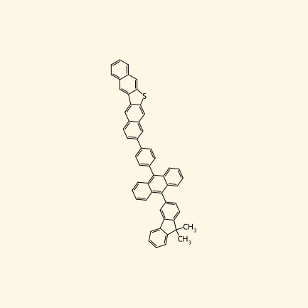 CC1(C)c2ccccc2-c2cc(-c3c4ccccc4c(-c4ccc(-c5ccc6cc7c(cc6c5)sc5cc6ccccc6cc57)cc4)c4ccccc34)ccc21